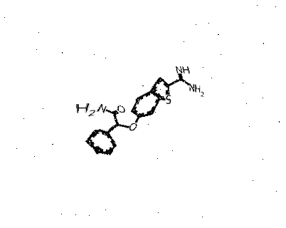 N=C(N)c1cc2ccc(OC(C(N)=O)c3ccccc3)cc2s1